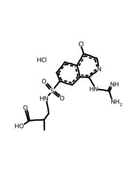 CC(CNS(=O)(=O)c1ccc2c(Cl)cnc(NC(=N)N)c2c1)C(=O)O.Cl